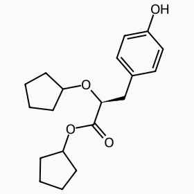 O=C(OC1CCCC1)[C@H](Cc1ccc(O)cc1)OC1CCCC1